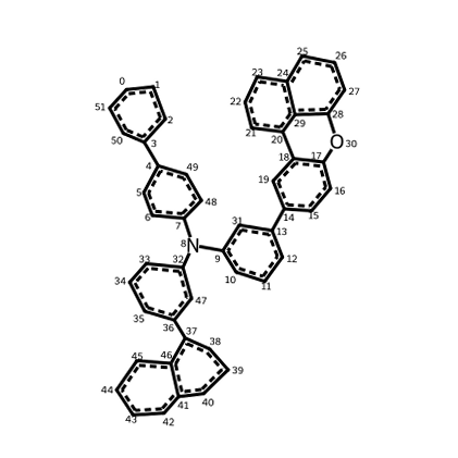 c1ccc(-c2ccc(N(c3cccc(-c4ccc5c(c4)-c4cccc6cccc(c46)O5)c3)c3cccc(-c4cccc5ccccc45)c3)cc2)cc1